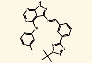 CC(C)(C)n1nnc(-c2cccc(/C=N/c3n[nH]c4ncnc(Nc5cccc(Cl)c5)c34)c2)n1